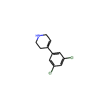 Clc1cc(Cl)cc(C2=CCNCC2)c1